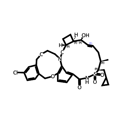 C[C@@H]1C/C=C/[C@H](O)[C@@H]2CC[C@H]2CN2CCCCc3cc(Cl)ccc3COc3ccc(cc32)C(=O)NS(=O)(=O)[C@@H]1CC1CC1